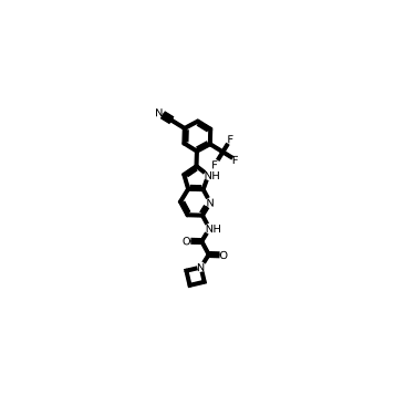 N#Cc1ccc(C(F)(F)F)c(-c2cc3ccc(NC(=O)C(=O)N4CCC4)nc3[nH]2)c1